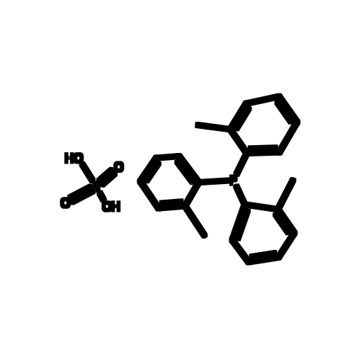 Cc1ccccc1P(c1ccccc1C)c1ccccc1C.O=S(=O)(O)O